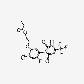 CCC(=O)OCCOc1cc(-n2c(=O)cc(C(F)(F)F)[nH]c2=O)c(F)cc1Cl